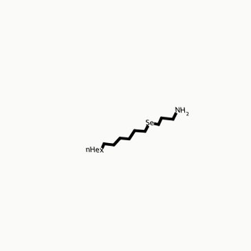 CCCCCCCCCCCC[Se]CCCN